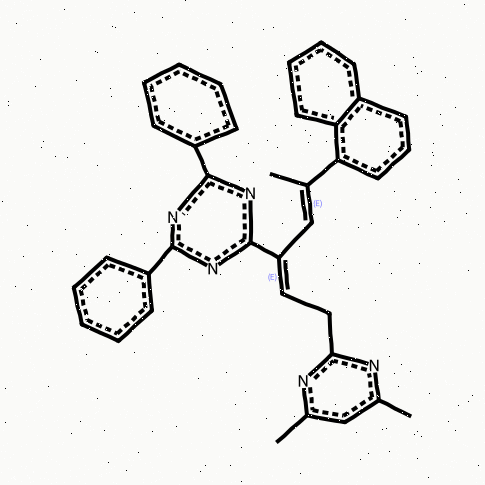 C/C(=C\C(=C/Cc1nc(C)cc(C)n1)c1nc(-c2ccccc2)nc(-c2ccccc2)n1)c1cccc2ccccc12